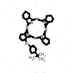 CC(C)(C)c1cc[c]([Zn][c]2cccc3c4nc5nc(nc6[nH]c(nc7nc(nc([nH]4)c23)-c2ccccc2-7)c2ccccc62)-c2ccccc2-5)cc1